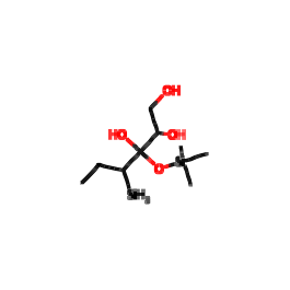 CCC([SiH3])C(O)(O[Si](C)(C)C)C(O)CO